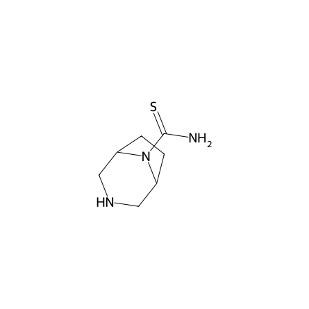 NC(=S)N1C2CCC1CNC2